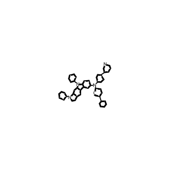 c1ccc(-c2ccc(N(c3ccc(-c4cccnc4)cc3)c3ccc4c(c3)c3cc5ccn(-c6ccccc6)c5cc3n4-c3ccccc3)cc2)cc1